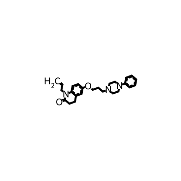 C=CCN1C(=O)CCc2cc(OCCCN3CCN(c4ccccc4)CC3)ccc21